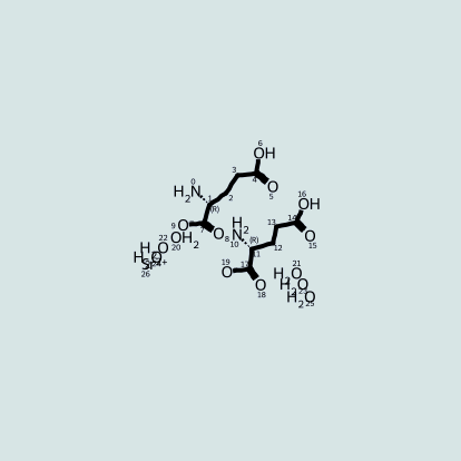 N[C@H](CCC(=O)O)C(=O)[O-].N[C@H](CCC(=O)O)C(=O)[O-].O.O.O.O.O.O.[Sr+2]